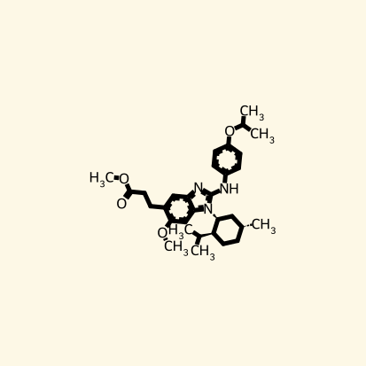 COC(=O)CCc1cc2nc(Nc3ccc(OC(C)C)cc3)n([C@@H]3C[C@H](C)CC[C@H]3C(C)C)c2cc1OC